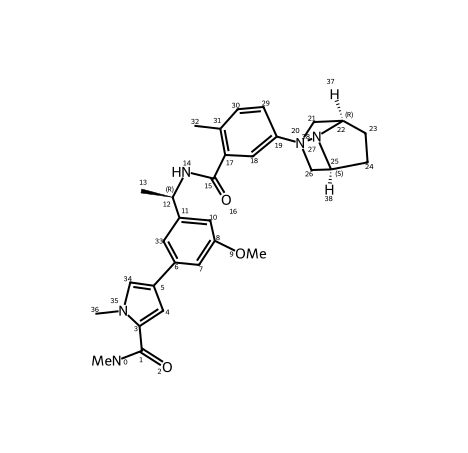 CNC(=O)c1cc(-c2cc(OC)cc([C@@H](C)NC(=O)c3cc(N4C[C@H]5CC[C@@H](C4)N5C)ccc3C)c2)cn1C